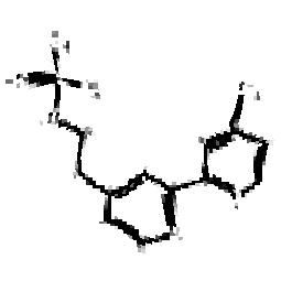 Cc1ccnc(-c2cc(CCOP(=O)(O)O)ccn2)c1